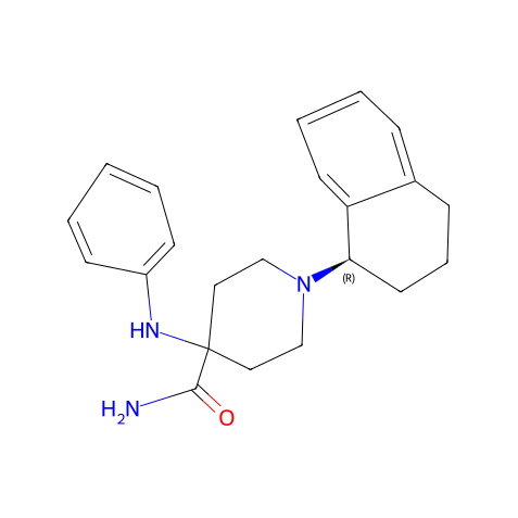 NC(=O)C1(Nc2ccccc2)CCN([C@@H]2CCCc3ccccc32)CC1